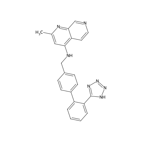 Cc1cc(NCc2ccc(-c3ccccc3-c3nnn[nH]3)cc2)c2ccncc2n1